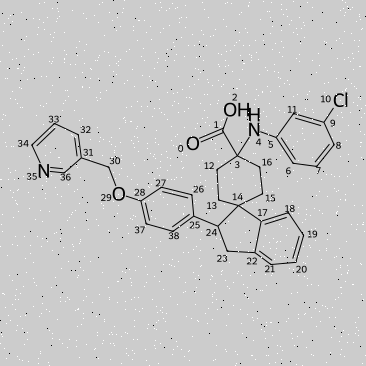 O=C(O)C1(Nc2cccc(Cl)c2)CCC2(CC1)c1ccccc1CC2c1ccc(OCc2cccnc2)cc1